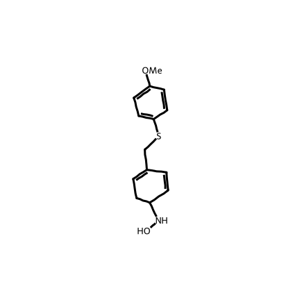 COc1ccc(SCC2=CCC(NO)C=C2)cc1